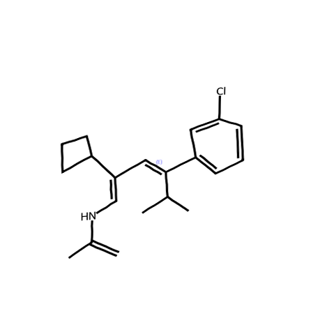 C=C(C)NC=C(/C=C(/c1cccc(Cl)c1)C(C)C)C1CCC1